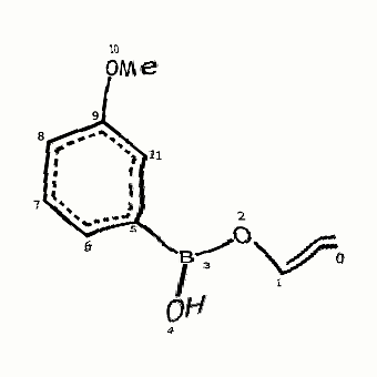 C=COB(O)c1cccc(OC)c1